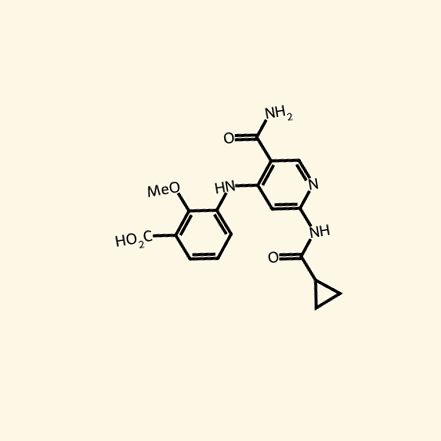 COc1c(Nc2cc(NC(=O)C3CC3)ncc2C(N)=O)cccc1C(=O)O